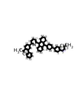 C=C/C=C\c1ccc(C2C=CC(c3c4c(c(-c5cccc(-c6ccc(C(=C)C)c(-c7ccccc7)c6)n5)c5ccccc35)C=CCC4)=CC2)cc1C